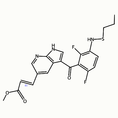 CCCSNc1ccc(F)c(C(=O)c2c[nH]c3ncc(/C=C/C(=O)OC)cc23)c1F